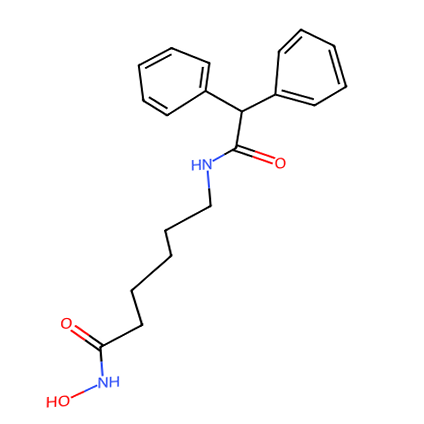 O=C(CCCCCNC(=O)C(c1ccccc1)c1ccccc1)NO